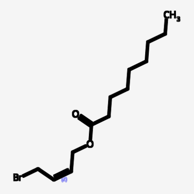 CCCCCCCCC(=O)OC/C=C\CBr